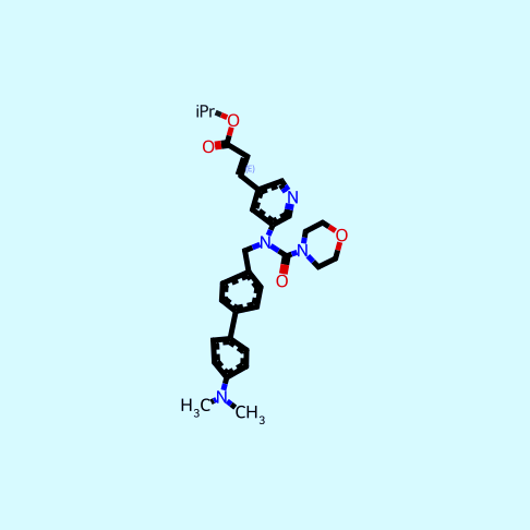 CC(C)OC(=O)/C=C/c1cncc(N(Cc2ccc(-c3ccc(N(C)C)cc3)cc2)C(=O)N2CCOCC2)c1